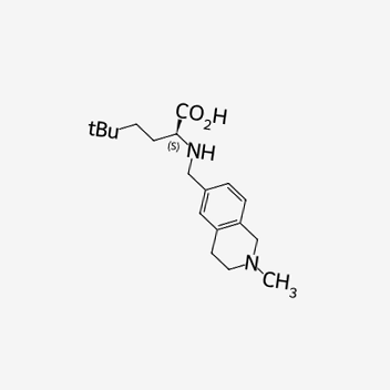 CN1CCc2cc(CN[C@@H](CCC(C)(C)C)C(=O)O)ccc2C1